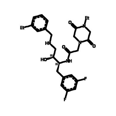 CCc1cccc(CNC[C@H](O)[C@H](Cc2cc(F)cc(F)c2)NC(=O)CN2CC(=O)N(CC)CC2=O)c1